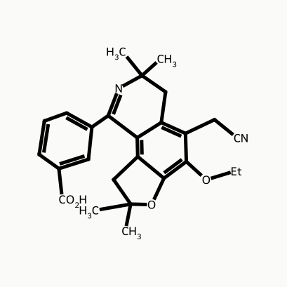 CCOc1c(CC#N)c2c(c3c1OC(C)(C)C3)C(c1cccc(C(=O)O)c1)=NC(C)(C)C2